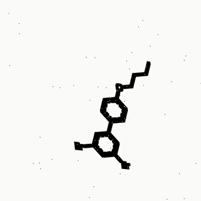 CCCCOc1ccc(-c2cc(Br)cc(Br)c2)cc1